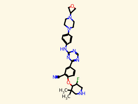 CC1(C)CNCC(F)C1Oc1ccc(-c2ncnc(Nc3ccc(N4CCN(C5COC5)CC4)cc3)n2)cc1C#N